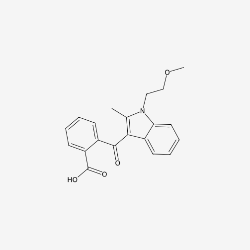 COCCn1c(C)c(C(=O)c2ccccc2C(=O)O)c2ccccc21